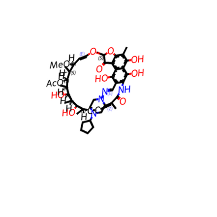 CO[C@H]1/C=C/O[C@@]2(C)Oc3c(C)c(O)c4c(O)c(c(/C=N/N5CCN(C6CCCC6)CC5)c(O)c4c3C2=O)NC(=O)/C(C)=C\CC[C@H](C)C(O)[C@@H](C)[C@@H](O)[C@@H](C)[C@H](OC(C)=O)[C@H]1C